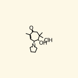 CC1=CC(N2CCCC2)C(O)C(C)(C)CC1=O.Cl